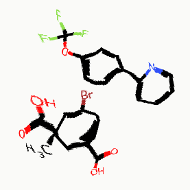 CC1(C(=O)O)C=C(Br)C=C(C(=O)O)C1.FC(F)(F)Oc1ccc(-c2ccccn2)cc1